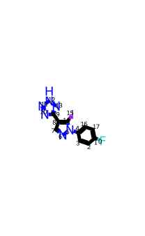 Fc1ccc(-n2ncc(-c3nn[nH]n3)c2I)cc1